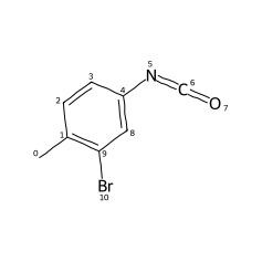 Cc1ccc(N=C=O)cc1Br